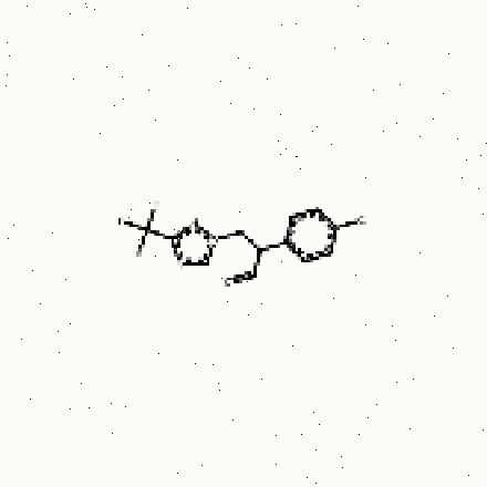 O=CC(Cn1cnc(C(F)(F)F)n1)c1ccc(Cl)cc1